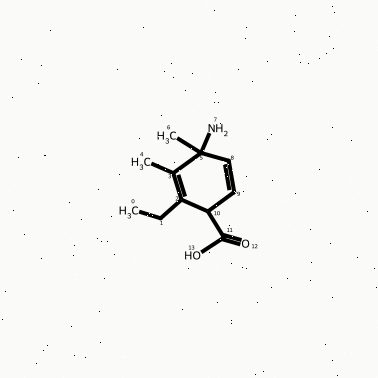 CCC1=C(C)C(C)(N)C=CC1C(=O)O